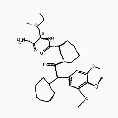 CC[C@@H](C)[C@@H](NC(=O)C1CCCCN1C(=O)C(c1cc(OC)c(OC)c(OC)c1)C1CCCCC1)C(N)=O